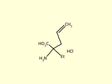 C=CCC(N)(CC)C(=O)O.Cl